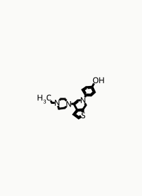 CCN1CCN(C2=CN(c3ccc(O)cc3)Cc3sccc32)CC1